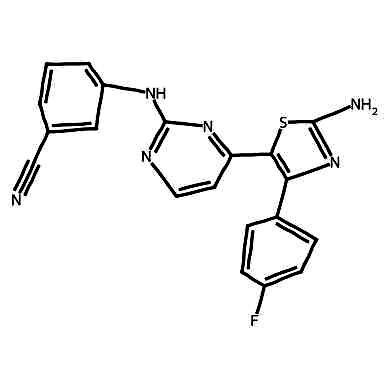 N#Cc1cccc(Nc2nccc(-c3sc(N)nc3-c3ccc(F)cc3)n2)c1